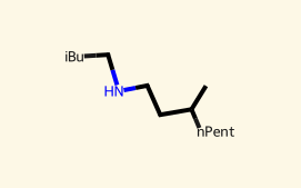 CCCCCC(C)CCNCC(C)CC